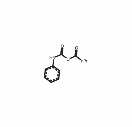 CCCC(=O)OC(=O)Nc1ccccc1